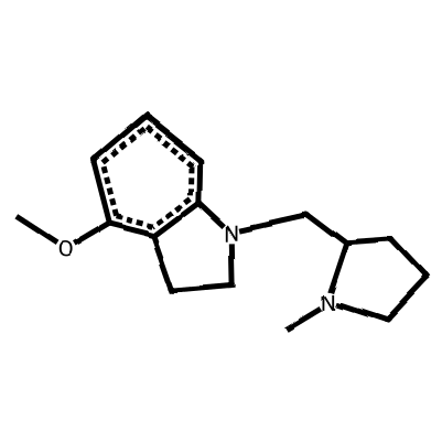 COc1cccc2c1CCN2CC1CCCN1C